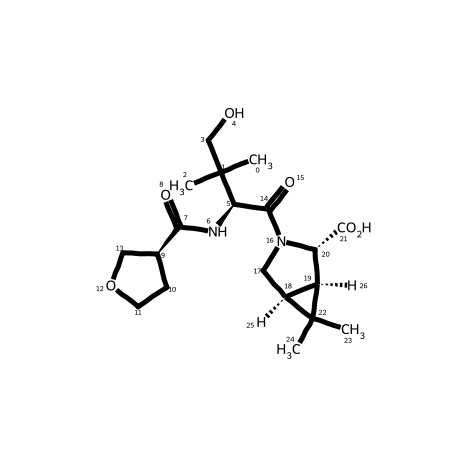 CC(C)(CO)[C@H](NC(=O)[C@H]1CCOC1)C(=O)N1C[C@H]2[C@@H]([C@H]1C(=O)O)C2(C)C